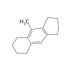 Cc1c2c(cc3c1CCCC3)CCCC2